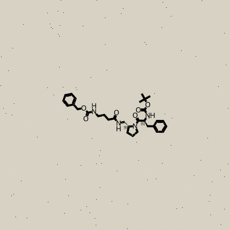 CC(C)(C)OC(=O)N[C@@H](Cc1ccccc1)C(=O)N1CCC[C@@H]1CNC(=O)CCCNC(=O)OCc1ccccc1